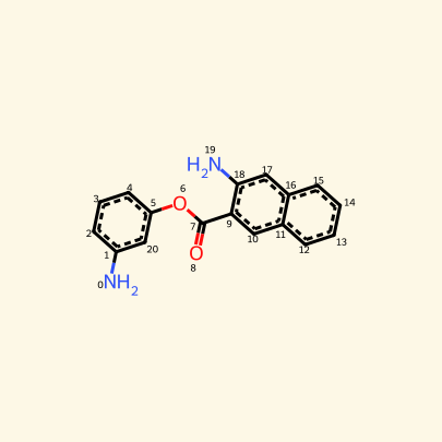 Nc1cccc(OC(=O)c2cc3ccccc3cc2N)c1